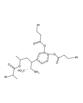 CC(C)CCC(=O)Oc1ccc(C(CC(C)OC(=O)C(C)C(C)C)[C@H](N)C(=O)O)cc1OC(=O)CCC(C)C